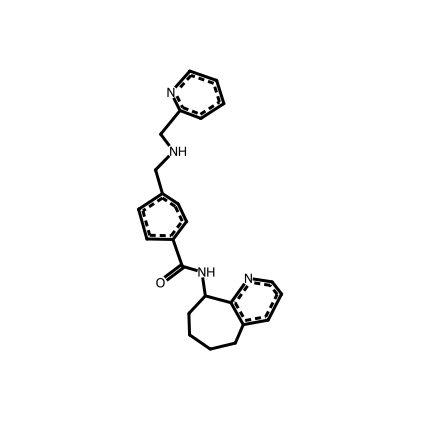 O=C(NC1CCCCc2cccnc21)c1ccc(CNCc2ccccn2)cc1